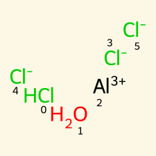 Cl.O.[Al+3].[Cl-].[Cl-].[Cl-]